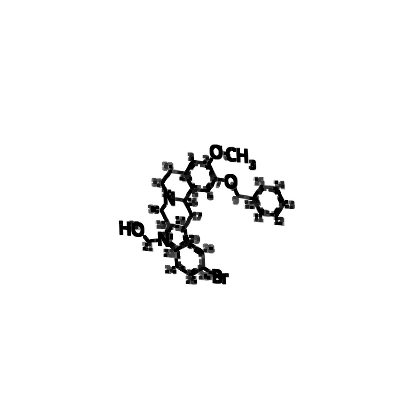 COc1cc2c(cc1OCc1ccccc1)C1Cc3c(n(CO)c4ccc(Br)cc34)CN1CC2